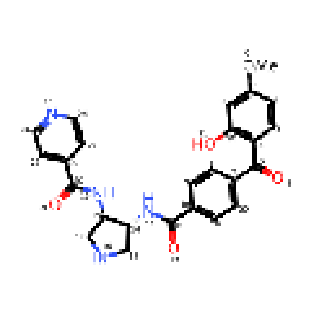 COc1ccc(C(=O)c2ccc(C(=O)N[C@@H]3CNC[C@H]3NC(=O)c3ccncc3)cc2)c(O)c1